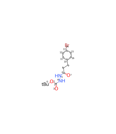 CC(C)(C)OC(=O)NNC(=O)CCc1ccc(Br)cc1